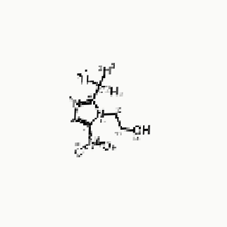 [2H]C([2H])([2H])c1ncc([N+](=O)[O-])n1CCO